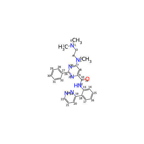 CN(C)CCN(C)c1cc(C(=O)Nc2ccccc2-c2cccnn2)nc(-c2ccccc2)n1